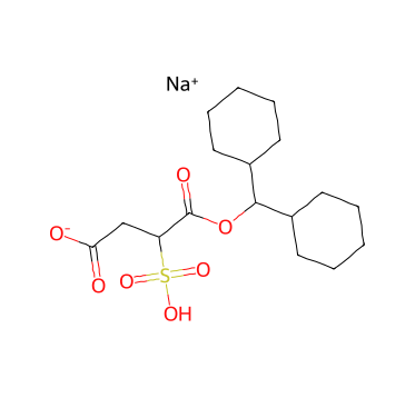 O=C([O-])CC(C(=O)OC(C1CCCCC1)C1CCCCC1)S(=O)(=O)O.[Na+]